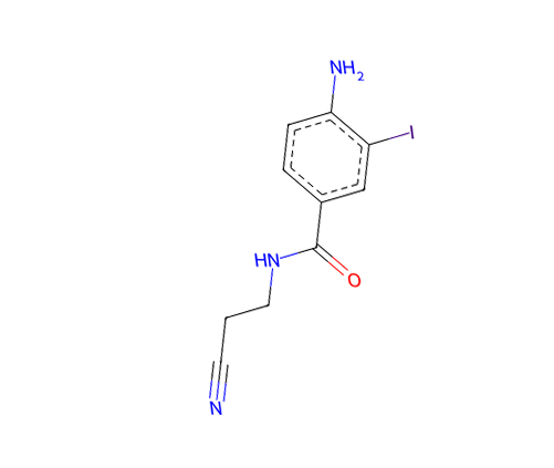 N#CCCNC(=O)c1ccc(N)c(I)c1